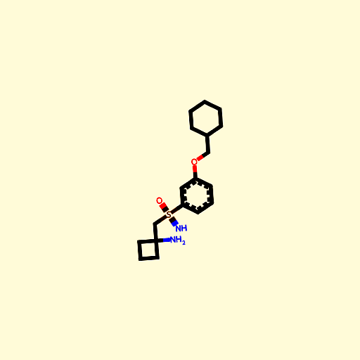 N=S(=O)(CC1(N)CCC1)c1cccc(OCC2CCCCC2)c1